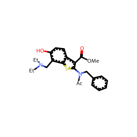 CCN(CC)Cc1c(O)ccc2c(C(=O)OC)c(N(Cc3ccccc3)C(C)=O)sc12